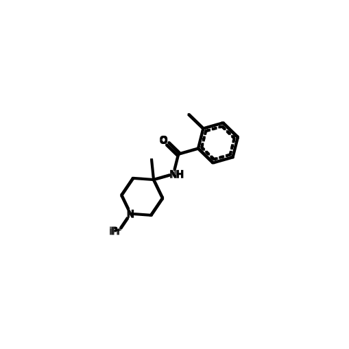 Cc1ccccc1C(=O)NC1(C)CCN(C(C)C)CC1